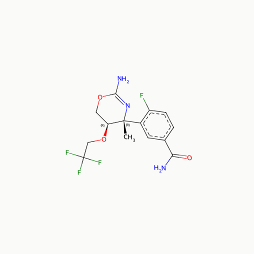 C[C@]1(c2cc(C(N)=O)ccc2F)N=C(N)OC[C@@H]1OCC(F)(F)F